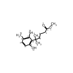 COC(=O)CCCC(C)(C)c1c(O)ccc(C)c1S